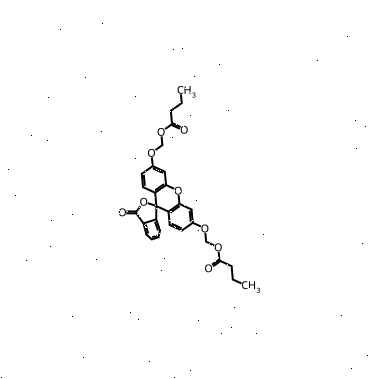 CCCC(=O)OCOc1ccc2c(c1)Oc1cc(OCOC(=O)CCC)ccc1C21OC(=O)c2ccccc21